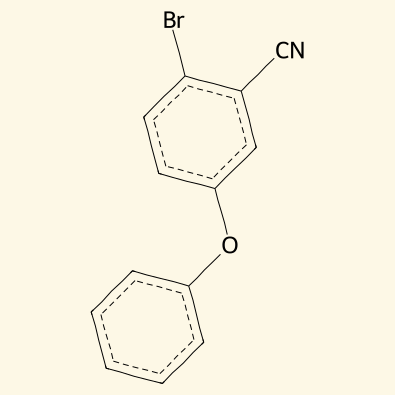 N#Cc1cc(Oc2ccccc2)ccc1Br